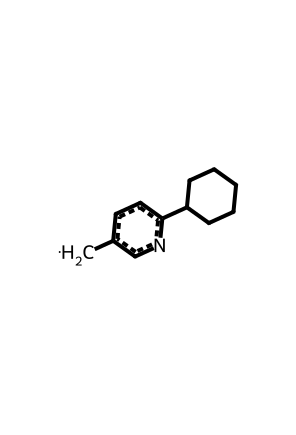 [CH2]c1ccc(C2CCCCC2)nc1